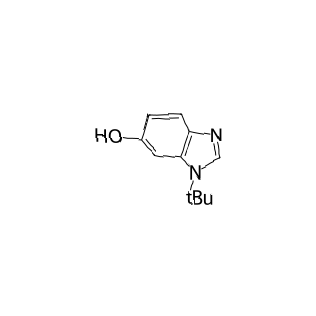 CC(C)(C)n1cnc2ccc(O)cc21